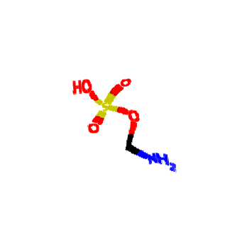 NCOS(=O)(=O)O